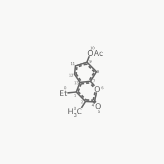 CCc1c(C)c(=O)oc2cc(OC(C)=O)ccc12